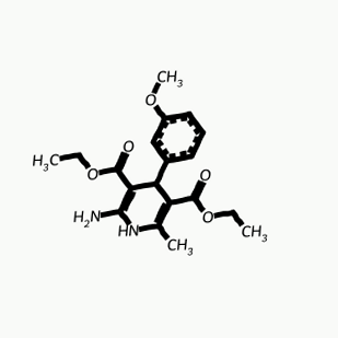 CCOC(=O)C1=C(C)NC(N)=C(C(=O)OCC)C1c1cccc(OC)c1